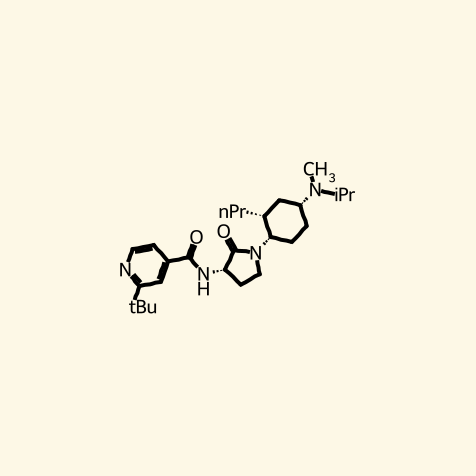 CCC[C@@H]1C[C@H](N(C)C(C)C)CC[C@@H]1N1CC[C@H](NC(=O)c2ccnc(C(C)(C)C)c2)C1=O